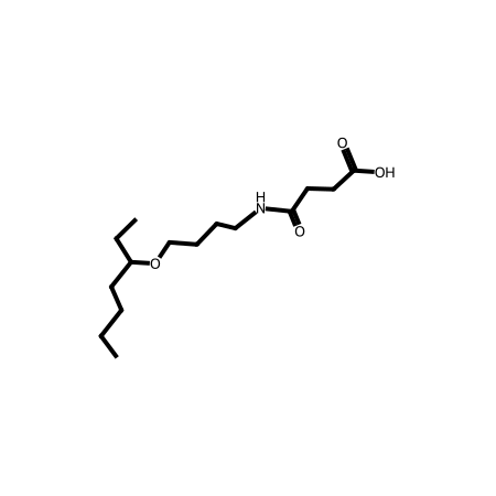 CCCCC(CC)OCCCCNC(=O)CCC(=O)O